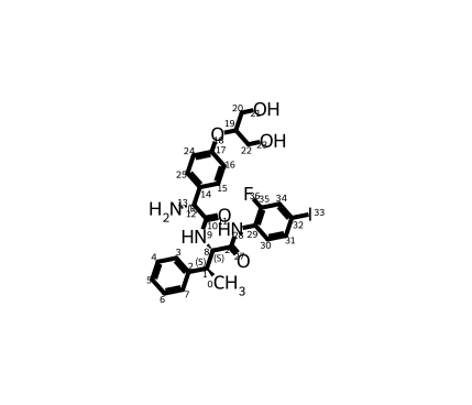 C[C@@H](c1ccccc1)[C@H](NC(=O)[C@H](N)c1ccc(OC(CO)CO)cc1)C(=O)Nc1ccc(I)cc1F